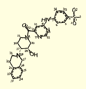 CS(=O)(=O)c1ccc(Nc2cc(C(=O)N3CC[C@@H](N4CCc5ccccc5C4)[C@H](O)C3)ncn2)cc1